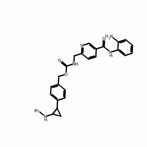 CC(C)NC1CC1c1ccc(COC(=O)NCc2ccc(C(=O)Nc3ccccc3N)cn2)cc1